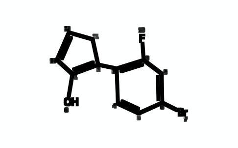 OC1=C(c2ccc(Br)cc2F)CC=C1